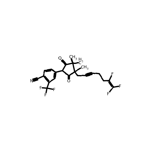 CC1(C)C(=O)C(c2ccc(C#N)c(C(F)(F)F)c2)C(=O)C1(C)CC#CCCC(F)=C(F)F